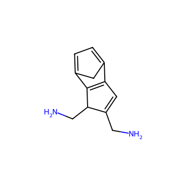 NCC1=CC2=C(C3=CC=C2C3)C1CN